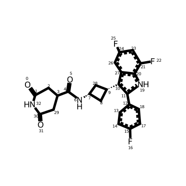 O=C1CC(C(=O)N[C@H]2C[C@@H](c3c(-c4ccc(F)cc4)[nH]c4c(F)cc(F)cc43)C2)CC(=O)N1